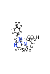 CSc1c(C)nc2cc(-c3ccc(C(F)(F)F)cc3)nn2c1N1CCCC(C)(C(=O)O)C1